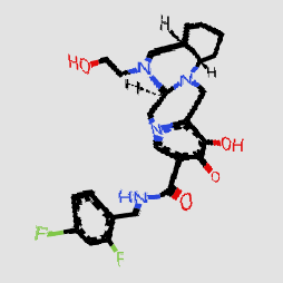 O=C(NCc1ccc(F)cc1F)c1cn2c(c(O)c1=O)CN1[C@H]3CCCC[C@H]3CN(CCO)[C@@H]1C2